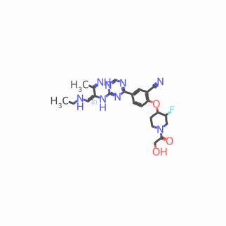 CCN/C=C(/Nc1ncnc(-c2ccc(OC3CCN(C(=O)CO)CC3F)c(C#N)c2)n1)C(C)=N